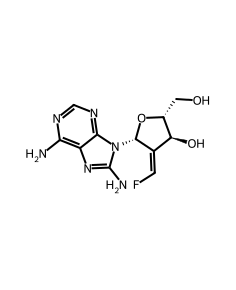 Nc1ncnc2c1nc(N)n2[C@@H]1O[C@H](CO)[C@@H](O)/C1=C/F